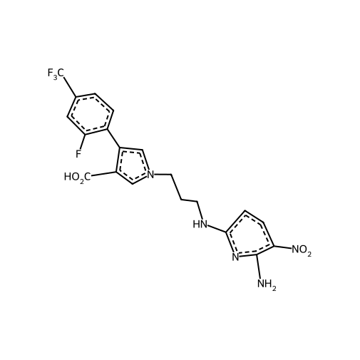 Nc1nc(NCCCn2cc(C(=O)O)c(-c3ccc(C(F)(F)F)cc3F)c2)ccc1[N+](=O)[O-]